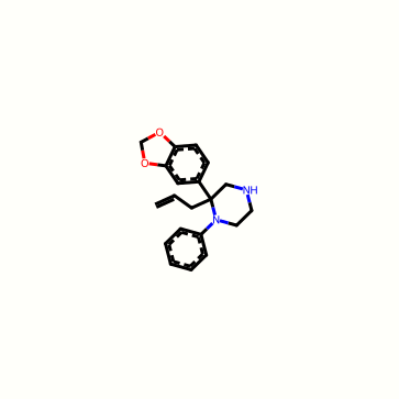 C=CCC1(c2ccc3c(c2)OCO3)CNCCN1c1ccccc1